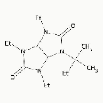 CCN1C(=O)N(CC)C2C1N(CC)C(=O)N2C(C)(C)CC